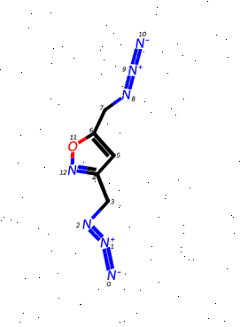 [N-]=[N+]=NCc1cc(CN=[N+]=[N-])on1